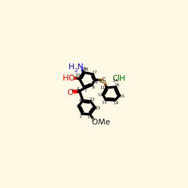 COc1ccc(C(=O)c2cc(Sc3ccccc3)cc(N)c2O)cc1.Cl